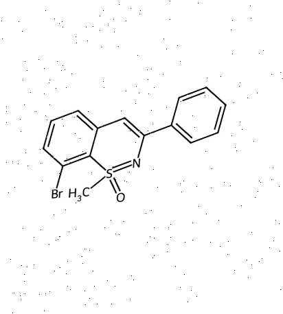 CS1(=O)=NC(c2ccccc2)=Cc2cccc(Br)c21